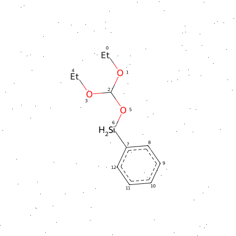 CCOC(OCC)O[SiH2]c1ccccc1